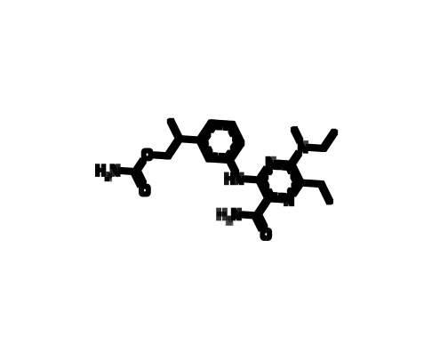 CCc1nc(C(N)=O)c(Nc2cccc(C(C)COC(N)=O)c2)nc1N(C)CC